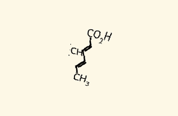 CC=CC=CC(=O)O.[CH]